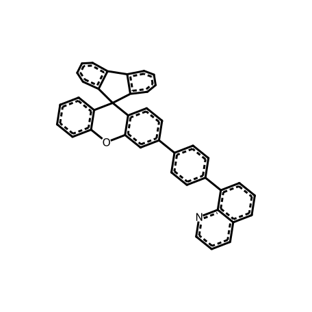 c1ccc2c(c1)Oc1cc(-c3ccc(-c4cccc5cccnc45)cc3)ccc1C21c2ccccc2-c2ccccc21